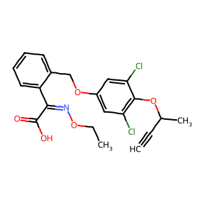 C#CC(C)Oc1c(Cl)cc(OCc2ccccc2C(=NOCC)C(=O)O)cc1Cl